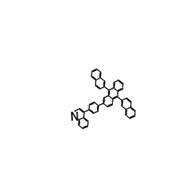 c1ccc2cc(-c3c4ccccc4c(-c4ccc5ccccc5c4)c4cc(-c5ccc(-c6ccnc7ccccc67)cc5)ccc34)ccc2c1